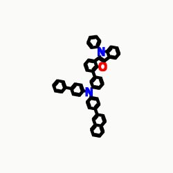 c1ccc(-c2ccc(N(c3ccc(-c4ccc5ccccc5c4)cc3)c3cccc(-c4cccc5c4oc4c6ccccc6n(-c6ccccc6)c54)c3)cc2)cc1